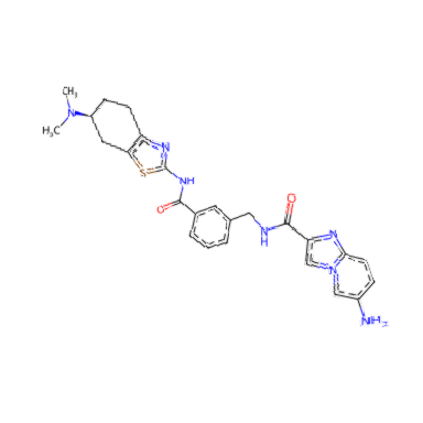 CN(C)[C@H]1CCc2nc(NC(=O)c3cccc(CNC(=O)c4cn5cc(N)ccc5n4)c3)sc2C1